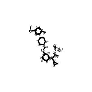 COc1ccc(F)c([C@H]2CC[C@H](COc3cccc(C(C4CC4)C(C)O[PH](=O)O)c3)CC2)c1